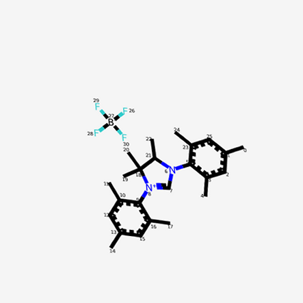 Cc1cc(C)c(N2C=[N+](c3c(C)cc(C)cc3C)C(C)(C)C2C)c(C)c1.F[B-](F)(F)F